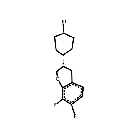 CC[C@H]1CC[C@H](C2COc3c(ccc(F)c3F)C2)CC1